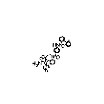 Cc1ccccc1-c1ccccc1C(=O)Nc1ccc(C(=O)N2CCC(=O)N(C(C(N)=O)N3CCN(C)CC3)c3ccccc32)cc1